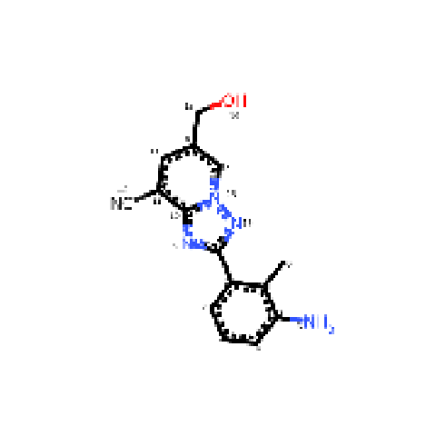 Cc1c(N)cccc1-c1nc2c(C#N)cc(CO)cn2n1